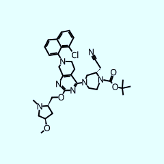 CO[C@@H]1C[C@H](COc2nc3c(c(N4CCN(C(=O)OC(C)(C)C)[C@@H](CC#N)C4)n2)CCN(c2cccc4cccc(Cl)c24)C3)N(C)C1